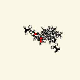 C=C(C)C(=O)OCCC[Si](O[Si](C)(C)C)(O[Si](C)(C)C)O[Si](O[Si](C)(C)C)(O[Si](C)(C)C)O[Si](O[Si](C)(C)C)(O[Si](C)(C)C)O[Si](CCCOC(=O)C(=C)C)(O[Si](C)(C)C)O[Si](C)(C)C